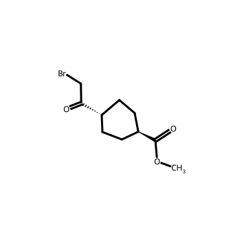 COC(=O)[C@H]1CC[C@H](C(=O)CBr)CC1